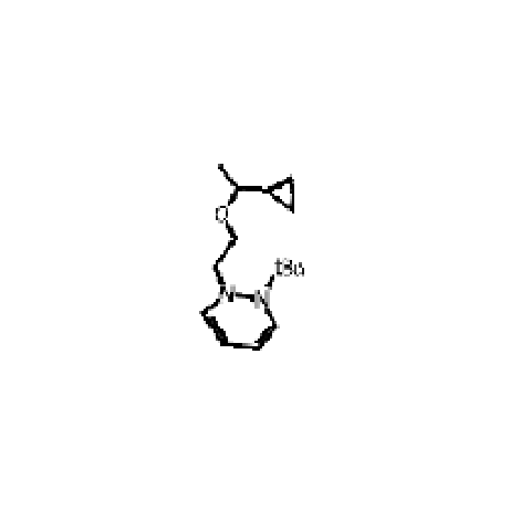 CC(OCCN1C=CC=CN1C(C)(C)C)C1CC1